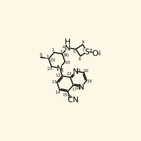 C[C@H]1C[C@@H](NC2C[S+]([O-])C2)CN(c2ccc(C#N)c3nccnc23)C1